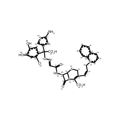 Nc1nc(C(ON=CC(=O)N[C@@H]2C(=O)N3C(C(=O)O)=C(/C=C\C[n+]4cccc5ccccc54)CSC23)(C(=O)O)c2cc(O)c(O)cc2Cl)cs1